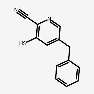 N#Cc1ncc(Cc2ccccc2)cc1S